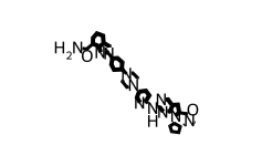 CN(C)C(=O)c1cc2cnc(Nc3ccc(N4CCN(c5ccc(-n6cc7cccc(C(N)=O)c7n6)cc5)CC4)cn3)nc2n1C1CCCC1